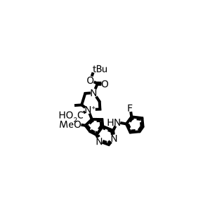 COc1cc2ncnc(Nc3ccccc3F)c2cc1[N+]1(C(=O)O)CCN(C(=O)OC(C)(C)C)CC1C